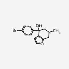 CN1Cc2occc2C(O)(c2ccc(Br)cc2)C1